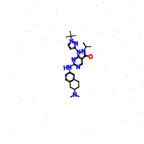 CC(C)n1c(=O)c2cnc(Nc3ccc4c(c3)CCC(N(C)C)C4)nc2n1-c1ccn(C(C)(C)C)n1